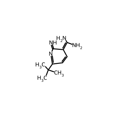 CC(C)(C)C1=NC(=N)C(=C(N)N)C=C1